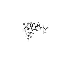 CNCCN(C)C(=O)C(C)c1cc(C(C)(C)C)cc(C(C)(C)C)c1OC